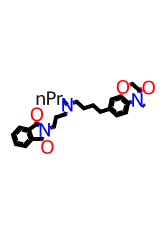 CCCN(CCCCc1ccc2c(c1)OCC(=O)N2C)CCCN1C(=O)c2ccccc2C1=O